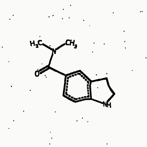 CN(C)C(=O)c1ccc2c(c1)CCN2